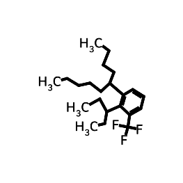 CCCCCC(CCCC)c1cccc(C(F)(F)F)c1C(CC)CC